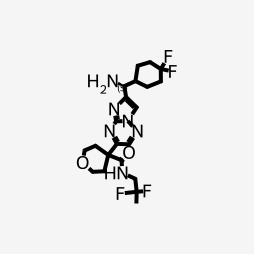 CC(F)(F)CNC(=O)C1(c2cnn3cc([C@@H](N)C4CCC(F)(F)CC4)nc3n2)CCOCC1